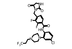 O=C(Nc1ccc(Cl)cc1N1CCN(CCC(F)(F)F)CC1)c1ccc(CN2C(=O)CNC2=O)c(F)c1F